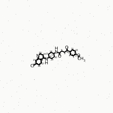 COc1ccc(C(=O)CCC(=O)NC2CCC(Nc3ccnc4cc(Cl)ccc34)CC2)cc1